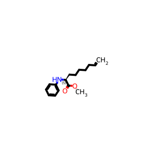 C=CCCCCC[C@H](Nc1ccccc1)C(=O)OC